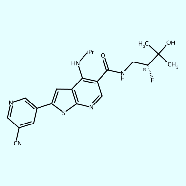 CC(C)Nc1c(C(=O)NC[C@@H](F)C(C)(C)O)cnc2sc(-c3cncc(C#N)c3)cc12